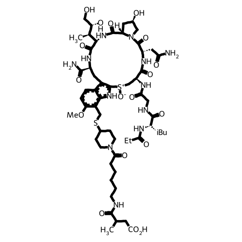 CCC(=O)N[C@H](C(=O)NCC(=O)N[C@H]1C[S+]([O-])c2[nH]c3c(CSC4CCN(C(=O)CCCCCNC(=O)C(C)CC(=O)O)CC4)c(OC)ccc3c2C[C@@H](C(N)=O)NC(=O)[C@H]([C@@H](C)[C@@H](O)CO)NC(=O)[C@@H]2C[C@@H](O)CN2C(=O)[C@H](CC(N)=O)NC1=O)[C@@H](C)CC